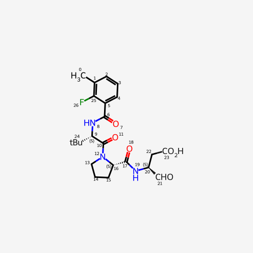 Cc1cccc(C(=O)N[C@H](C(=O)N2CCC[C@H]2C(=O)N[C@H](C=O)CC(=O)O)C(C)(C)C)c1F